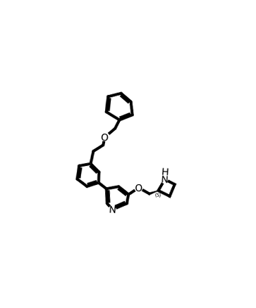 c1ccc(COCCc2cccc(-c3cncc(OC[C@@H]4CCN4)c3)c2)cc1